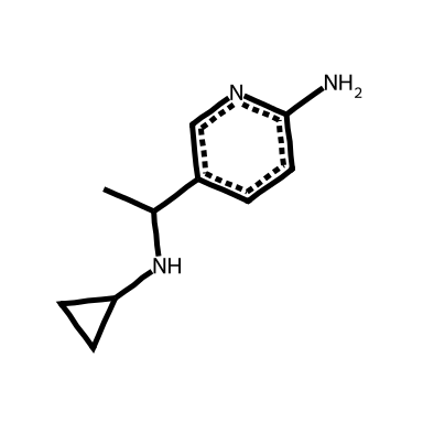 CC(NC1CC1)c1ccc(N)nc1